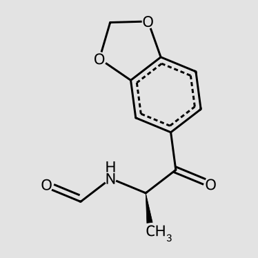 C[C@@H](NC=O)C(=O)c1ccc2c(c1)OCO2